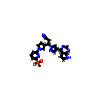 CS(=O)(=O)c1cccc(N2CCC(C(CC#N)n3cc(-c4ncnc5[nH]ccc45)cn3)C2)n1